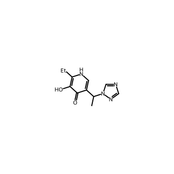 CCc1[nH]cc(C(C)n2cncn2)c(=O)c1O